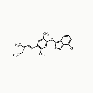 CCN(C)C=Nc1cc(C)c(Oc2snc3c(Cl)cccc23)cc1C